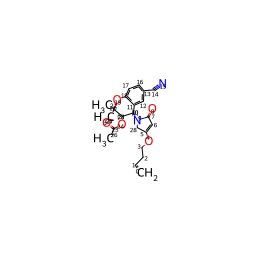 C=CCCOC1=CC(=O)N([C@@H]2c3cc(C#N)ccc3OC(C)(C)[C@H]2OC(C)=O)C1